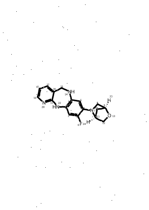 Fc1cc2c(cc1N1C[C@@H]3C[C@H]1CO3)NCc1cccnc1N2